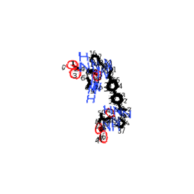 COC(=O)N[C@@H](Cc1c[nH]nn1)C(=O)N1CCC[C@H]1c1ncc(-c2ccc(-c3ccc(-c4cnc([C@@H]5CCCN5C(=O)[C@@H](NC(=O)OC)C(C)C)[nH]4)cc3)cc2)[nH]1